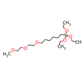 CCO[Si](CCCCCCOCCOCCOC)(OCC)OCC